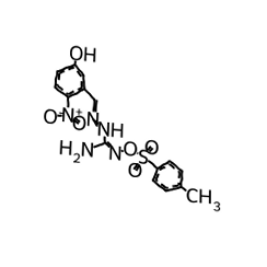 Cc1ccc(S(=O)(=O)ON=C(N)NN=Cc2cc(O)ccc2[N+](=O)[O-])cc1